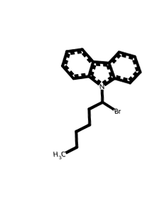 CCCCCC(Br)n1c2ccccc2c2ccccc21